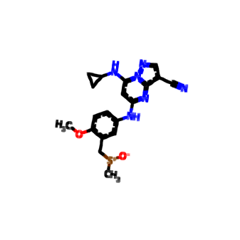 COc1ccc(Nc2cc(NC3CC3)n3ncc(C#N)c3n2)cc1C[S+](C)[O-]